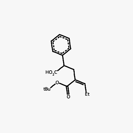 CCC=C(CC(C(=O)O)c1ccccc1)C(=O)OC(C)(C)C